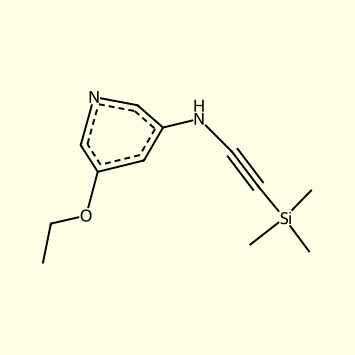 CCOc1cncc(NC#C[Si](C)(C)C)c1